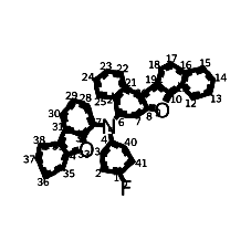 Fc1ccc(N(c2cc3oc4c5ccccc5ccc4c3c3ccccc23)c2cccc3c2oc2ccccc23)cc1